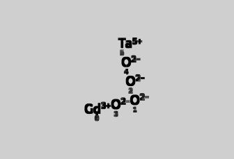 [Gd+3].[O-2].[O-2].[O-2].[O-2].[Ta+5]